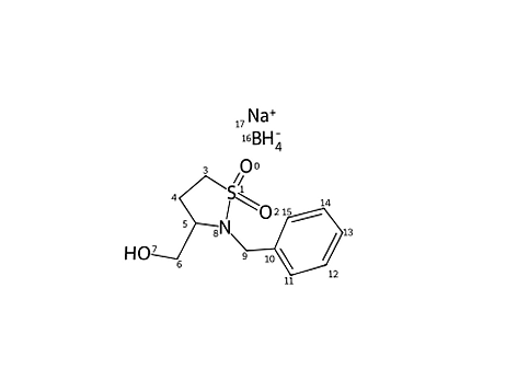 O=S1(=O)CCC(CO)N1Cc1ccccc1.[BH4-].[Na+]